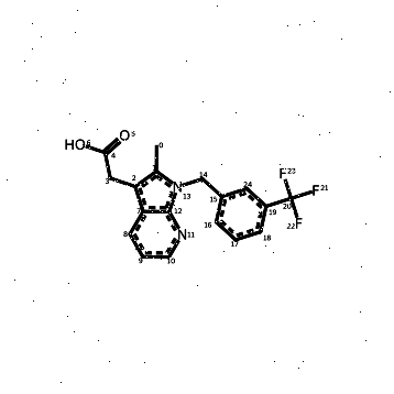 Cc1c(CC(=O)O)c2cccnc2n1Cc1cccc(C(F)(F)F)c1